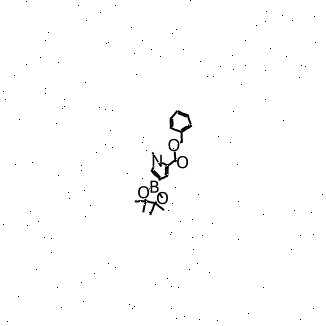 Cn1cc(B2OC(C)(C)C(C)(C)O2)cc1C(=O)OCc1ccccc1